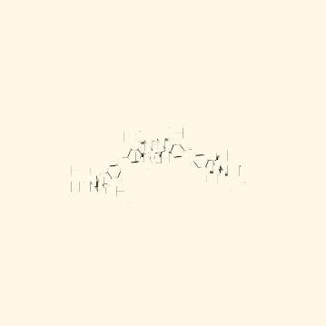 C=c1c2ccc(Cc3ccc4c(=C)n(Cn5c(=C)c6ccc(Cc7ccc8c(=C)n(N)c(=C)c8c7)cc6c5=C)c(=C)c4c3)cc2c(=C)n1N